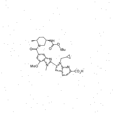 COc1cc(C(=O)N2C[C@H](NC(=O)OC(C)(C)C)CC[C@@H]2C)cc2nc(-c3cc4ccc(C(=O)O)nc4n3CC3CC3)n(C)c12